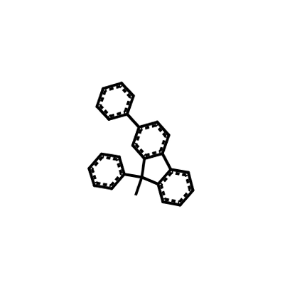 CC1(c2ccccc2)c2ccccc2-c2ccc(-c3ccccc3)cc21